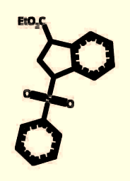 CCOC(=O)C1CC(S(=O)(=O)c2ccccc2)c2ccccc21